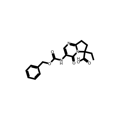 CCC1(C(=O)O)CCc2ncc(NC(=O)OCc3ccccc3)c(=O)n21